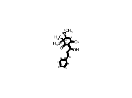 COC1=CC(=O)/C(=C(O)/C=C/c2ccccc2)C(=O)C1(C)C